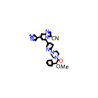 CO[C@@H](C(=O)N1CCN(c2ccc(-c3cc(-c4cnn(C)c4)cc4ncc(C#N)n34)cn2)CC1)c1ccccc1